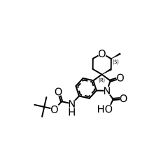 C[C@H]1C[C@@]2(CCO1)C(=O)N(C(=O)O)c1cc(NC(=O)OC(C)(C)C)ccc12